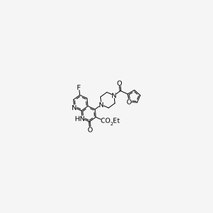 CCOC(=O)c1c(N2CCN(C(=O)c3ccco3)CC2)c2cc(F)cnc2[nH]c1=O